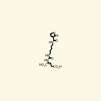 O=C(O)CC[C@H](NC(=O)NCCCCCNC(=O)c1cccnc1[18F])C(=O)O